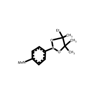 CCC1(C)OB(c2ccc(NC)cc2)OC1(C)C